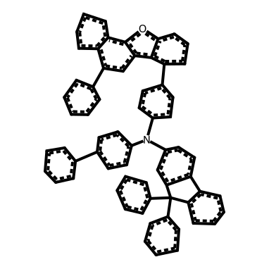 c1ccc(-c2ccc(N(c3ccc(-c4cccc5oc6c7ccccc7c(-c7ccccc7)cc6c45)cc3)c3ccc4c(c3)C(c3ccccc3)(c3ccccc3)c3ccccc3-4)cc2)cc1